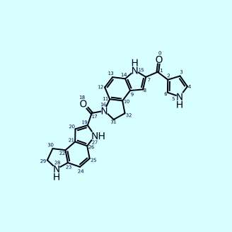 O=C(c1cc[nH]c1)c1cc2c3c(ccc2[nH]1)N(C(=O)c1cc2c4c(ccc2[nH]1)NCC4)CC3